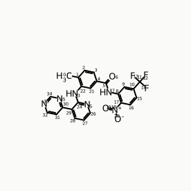 Cc1ccc(C(=O)Nc2cc(C(F)(F)F)ccc2[N+](=O)[O-])cc1Nc1ncccc1-c1ccncn1